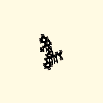 CCC(N=NCCC(Cc1ccccc1)NC(=O)NCC(C)C)C(C#N)c1ccccc1